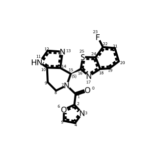 O=C(c1ncco1)N1CCc2[nH]cnc2[C@H]1c1nc2cccc(F)c2s1